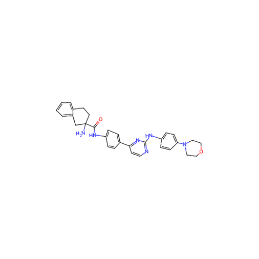 NC1(C(=O)Nc2ccc(-c3ccnc(Nc4ccc(N5CCOCC5)cc4)n3)cc2)CCc2ccccc2C1